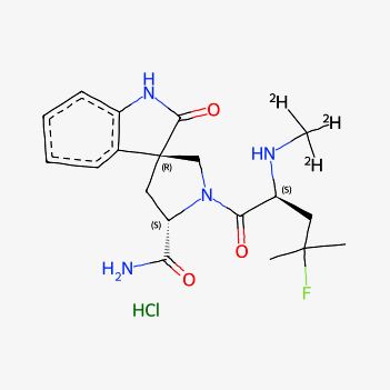 Cl.[2H]C([2H])([2H])N[C@@H](CC(C)(C)F)C(=O)N1C[C@]2(C[C@H]1C(N)=O)C(=O)Nc1ccccc12